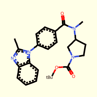 Cc1nc2ccccc2n1-c1ccc(C(=O)N(C)C2CCN(C(=O)OC(C)(C)C)C2)cc1